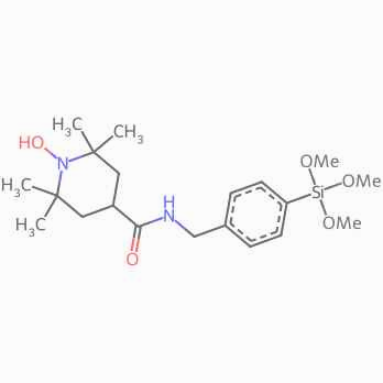 CO[Si](OC)(OC)c1ccc(CNC(=O)C2CC(C)(C)N(O)C(C)(C)C2)cc1